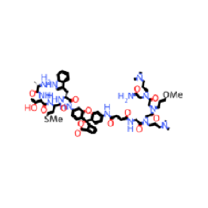 COCCCN(CC(=O)N(CCCN(C)C)CC(N)=O)C(=O)CN(CCCN(C)C)C(=O)CNC(=O)CCC(=O)Nc1ccc2c(c1)Oc1cc(NC(=O)[C@H](Cc3c[nH]c4ccccc34)NC(=O)C(CCSC)NC(=O)[C@@H](NC(=O)[C@H](C)N)C(C)O)ccc1C21OC(=O)c2ccccc21